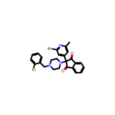 CCc1ccccc1CN1CCN(C2(c3cc(C)nc(C(C)C)c3)C(=O)c3ccccc3C2=O)CC1